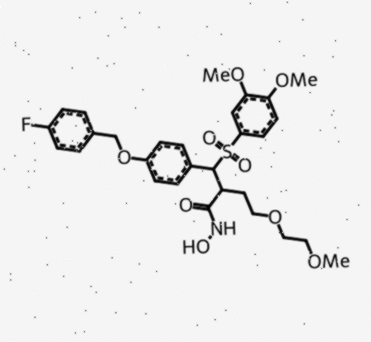 COCCOCCC(C(=O)NO)C(c1ccc(OCc2ccc(F)cc2)cc1)S(=O)(=O)c1ccc(OC)c(OC)c1